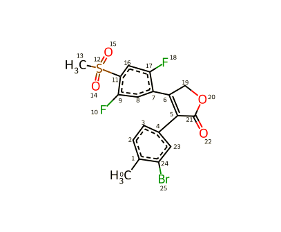 Cc1ccc(C2=C(c3cc(F)c(S(C)(=O)=O)cc3F)COC2=O)cc1Br